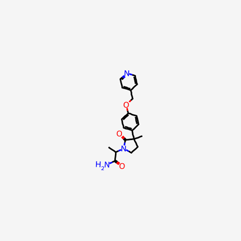 CC(C(N)=O)N1CCC(C)(c2ccc(OCc3ccncc3)cc2)C1=O